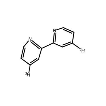 [2H]c1ccnc(-c2cc([2H])ccn2)c1